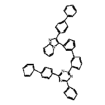 c1ccc(-c2ccc(-c3nc(-c4ccccc4)nc(-c4cccc(-c5cccc(-c6c(-c7ccc(-c8ccccc8)cc7)nc7ccccn67)c5)c4)n3)cc2)cc1